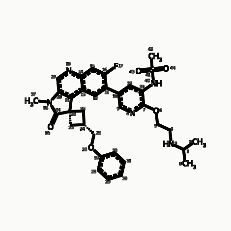 CC(C)NCCOc1ncc(-c2cc3c(cc2F)ncc2c3[C@]3(C[C@@H](COc4ccccc4)C3)C(=O)N2C)cc1NS(C)(=O)=O